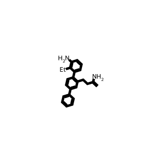 C=C(N)CCc1cc(-c2ccccc2)ccc1-c1cccc(N)c1CC